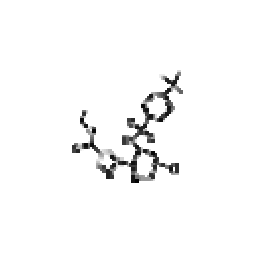 CCOC(=O)c1cnn(-c2ncc(Cl)cc2NS(=O)(=O)c2ccc(C(C)(C)C)cc2)c1